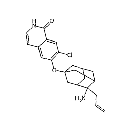 C=CCC1(N)C2CC3CC1CC(Oc1cc4cc[nH]c(=O)c4cc1Cl)(C3)C2